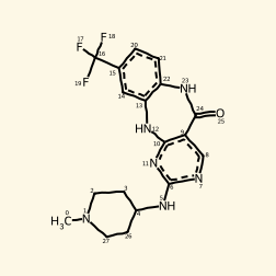 CN1CCC(Nc2ncc3c(n2)Nc2cc(C(F)(F)F)ccc2NC3=O)CC1